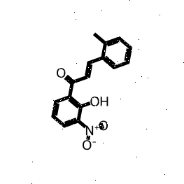 Cc1ccccc1C=CC(=O)c1cccc([N+](=O)[O-])c1O